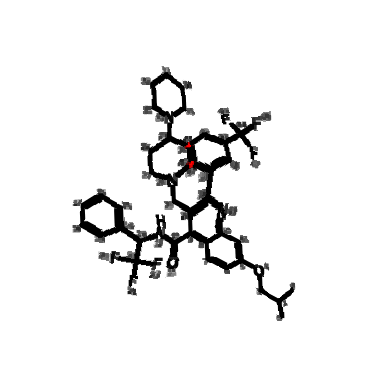 CC(C)COc1ccc2c(C(=O)N[C@H](c3ccccc3)C(F)(F)F)c(CN3CCC(N4CCCCC4)CC3)c(-c3cccc(C(F)(F)F)c3)nc2c1